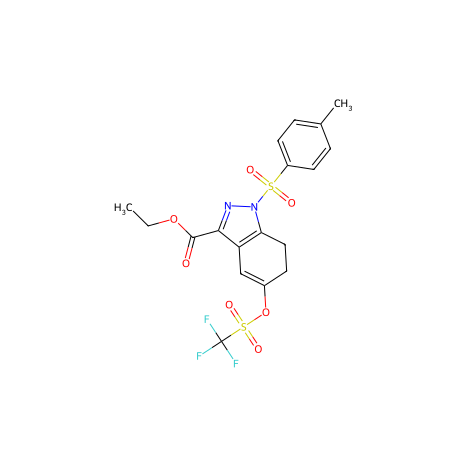 CCOC(=O)c1nn(S(=O)(=O)c2ccc(C)cc2)c2c1C=C(OS(=O)(=O)C(F)(F)F)CC2